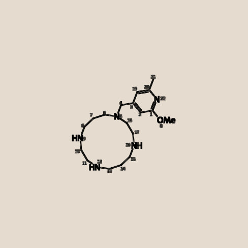 COc1cc(CN2CCCNCCNCCCNCC2)cc(C)n1